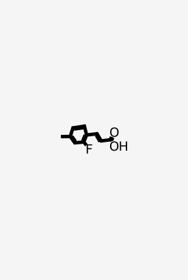 Cc1ccc(/C=C/C(=O)O)c(F)c1